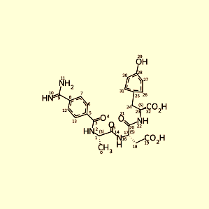 C[C@H](NC(=O)c1ccc(C(=N)N)cc1)C(=O)N[C@@H](CC(=O)O)C(=O)N[C@@H](Cc1ccc(O)cc1)C(=O)O